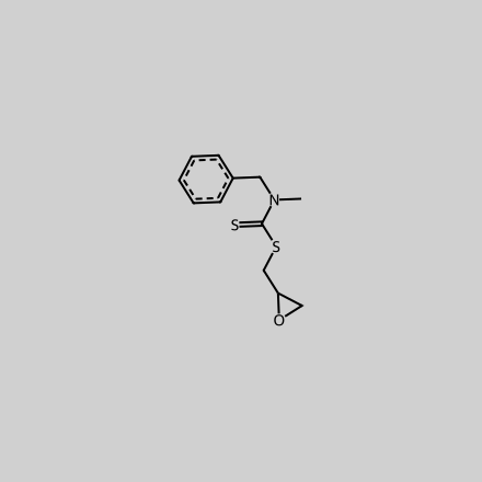 CN(Cc1ccccc1)C(=S)SCC1CO1